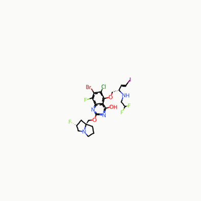 Oc1nc(OC[C@@]23CCCN2C[C@H](F)C3)nc2c(F)c(Br)c(Cl)c(OC[C@H](/C=C/I)NCC(F)F)c12